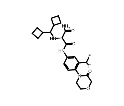 NC(=O)[C@H](NC(C1CCC1)C1CCC1)C(=O)Nc1ccc(N2CCOCC2=O)c(C(F)F)c1